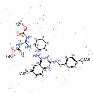 COc1ccc(CNc2nc(N[C@H]3CCCC[C@H]3NC(=NC(=O)OC(C)(C)C)NC(=O)OC(C)(C)C)c3cc(OC)ccc3n2)cc1